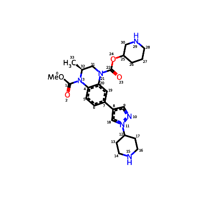 COC(=O)N1c2ccc(-c3cnn(C4CCNCC4)c3)cc2N(C(=O)OC2CCCNC2)C[C@@H]1C